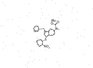 CN(C(=O)OC(C)(C)C)c1ccc2c(Sc3ccccc3[N+](=O)[O-])cn(Cc3cccnc3)c2c1